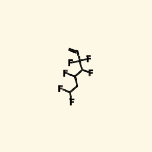 C=CC(F)(F)C(F)C(F)CC(F)F